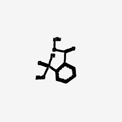 CCCCOC(=O)c1ccccc1P(=O)(CC)OC